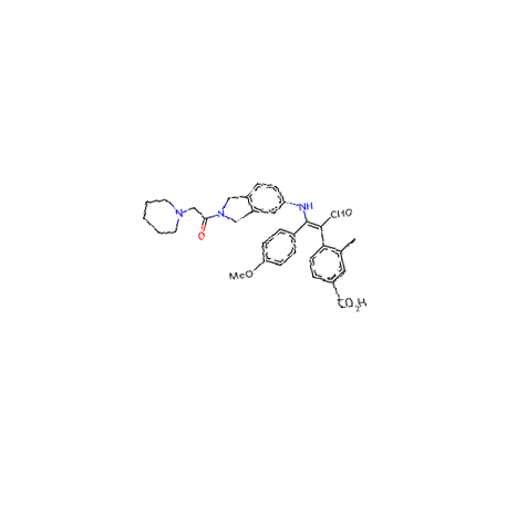 COc1ccc(/C(Nc2ccc3c(c2)CN(C(=O)CN2CCCCC2)C3)=C(/C=O)c2ccc(C(=O)O)cc2C)cc1